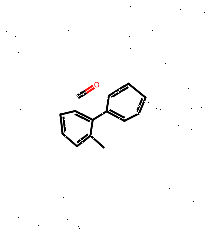 C=O.Cc1ccccc1-c1ccccc1